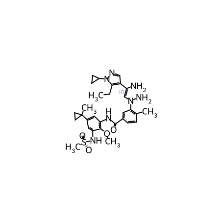 CCc1c(/C(N)=C/N(N)c2cc(C(=O)Nc3cc(C4(C)CC4)cc(NS(C)(=O)=O)c3OC)ccc2C)cnn1C1CC1